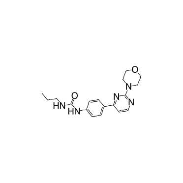 CCCNC(=O)Nc1ccc(-c2ccnc(N3CCOCC3)n2)cc1